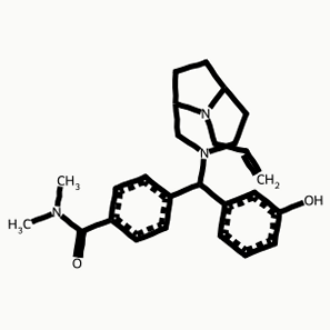 C=CCN1C2CCC1CN(C(c1ccc(C(=O)N(C)C)cc1)c1cccc(O)c1)CC2